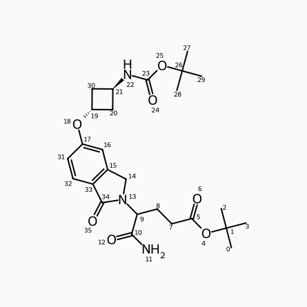 CC(C)(C)OC(=O)CCC(C(N)=O)N1Cc2cc(O[C@H]3C[C@H](NC(=O)OC(C)(C)C)C3)ccc2C1=O